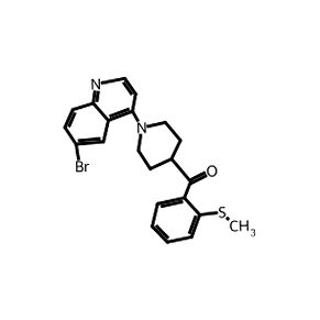 CSc1ccccc1C(=O)C1CCN(c2ccnc3ccc(Br)cc23)CC1